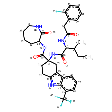 CCC(C)[C@H](NC(=O)Cc1ccccc1F)C(=O)N[C@]1(C(=O)N[C@H]2CCCCNC2=O)CCc2[nH]c3c(C(F)(F)F)cccc3c2C1